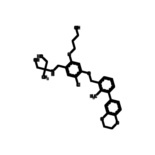 Cc1c(COc2cc(OCCCO)c(CNC(C)(CO)CO)cc2Cl)cccc1-c1ccc2c(c1)OCCO2